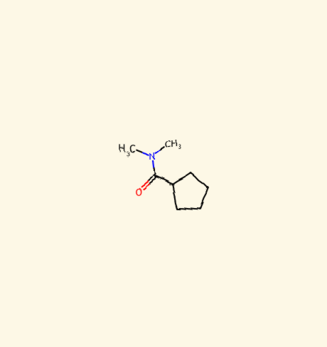 CN(C)C(=O)[C]1CCCC1